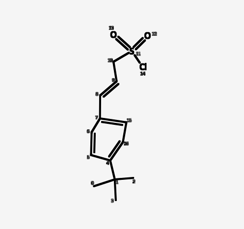 CC(C)(C)c1ccc(C=CCS(=O)(=O)Cl)cc1